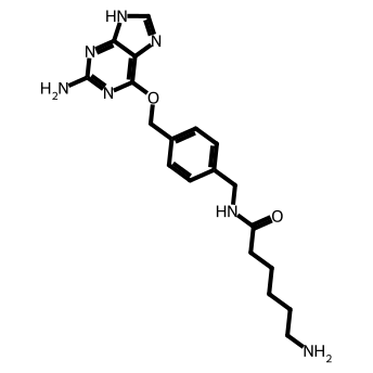 NCCCCCC(=O)NCc1ccc(COc2nc(N)nc3[nH]cnc23)cc1